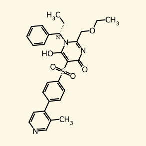 CCOCc1nc(=O)c(S(=O)(=O)c2ccc(-c3ccncc3C)cc2)c(O)n1[C@@H](CC)c1ccccc1